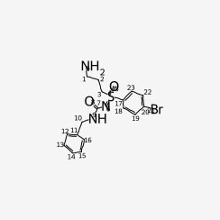 NCCCS(=O)(=NC(=O)NCc1ccccc1)c1ccc(Br)cc1